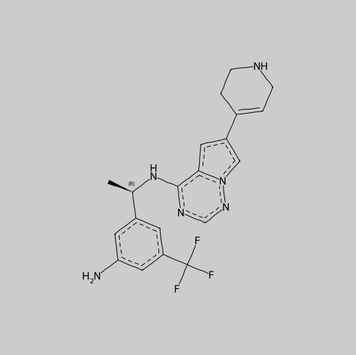 C[C@@H](Nc1ncnn2cc(C3=CCNCC3)cc12)c1cc(N)cc(C(F)(F)F)c1